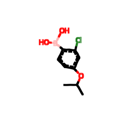 CC(C)Oc1ccc(B(O)O)c(Cl)c1